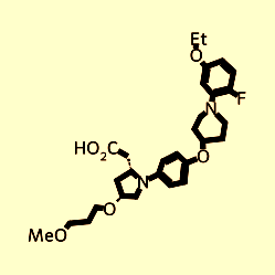 CCOc1ccc(F)c(N2CCC(Oc3ccc(N4C[C@H](OCCCOC)C[C@@H]4CC(=O)O)cc3)CC2)c1